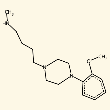 CNCCCCN1CCN(c2ccccc2OC)CC1